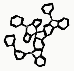 c1ccc(-c2cccc(-n3c4ccccc4c4cc5c(cc43)C3(c4cc6c(cc4-5)c4ccccc4n6-c4ccccc4)c4ccccc4N(c4ccccc4)c4ccccc43)c2)cc1